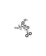 CCCCOc1ccc(C[C@H](NC(=O)OC(C)(C)C)/C(N)=N/OC(=O)[C@@H]2CCCN2C(=O)OCC2c3ccccc3-c3ccccc32)cc1